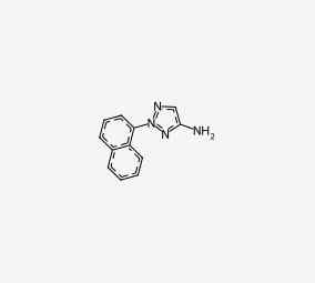 Nc1cnn(-c2cccc3ccccc23)n1